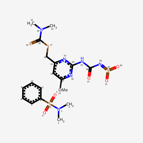 CN(C)S(=O)(=O)c1ccccc1.COc1cc(CSC(=S)N(C)C)nc(NC(=O)N=S(=O)=O)n1